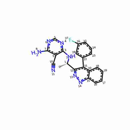 C[C@H](Nc1ncnc(N)c1C#N)c1nnc2ccccc2c1-c1cccc(F)c1